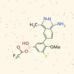 COc1c(F)cc(B(O)OC(=O)C(F)(F)F)cc1-c1ccc2c(N)nnc(C)c2c1